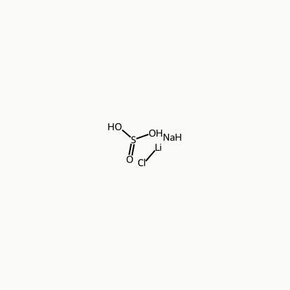 O=S(O)O.[Li][Cl].[NaH]